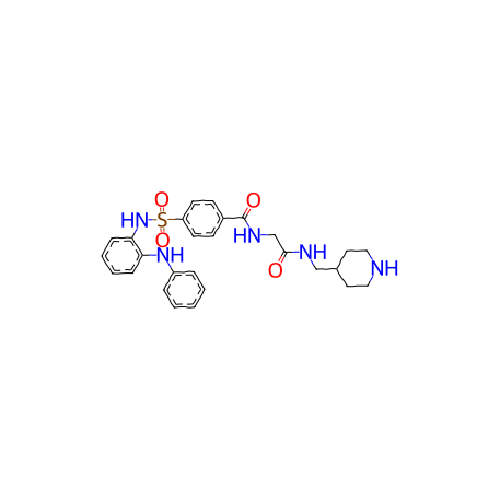 O=C(CNC(=O)c1ccc(S(=O)(=O)Nc2ccccc2Nc2ccccc2)cc1)NCC1CCNCC1